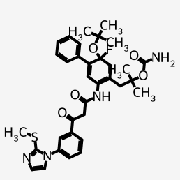 CSc1nccn1-c1cccc(C(=O)CC(=O)NC2=C(CC(C)(C)OC(N)=O)CC(F)(OC(C)(C)C)C(c3ccccc3)=C2)c1